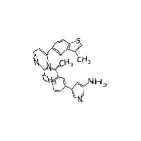 Cc1csc2ccc(C3=CC=NC(C)N3[C@@H](C)c3cccc(-c4cncc(N)c4)c3)cc12